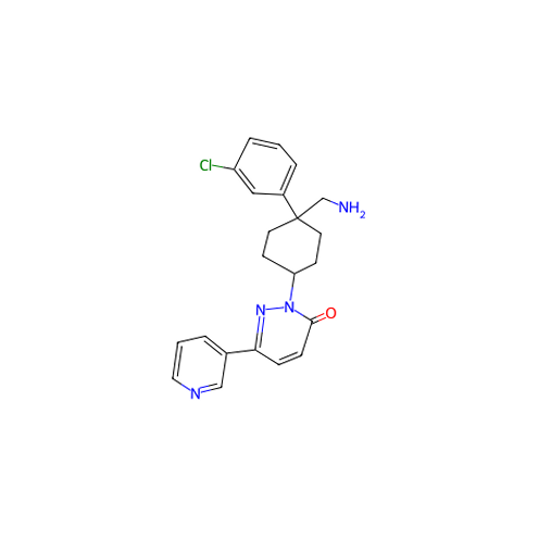 NCC1(c2cccc(Cl)c2)CCC(n2nc(-c3cccnc3)ccc2=O)CC1